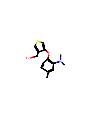 Cc1ccc(Oc2cscc2CO)c(N(C)C)c1